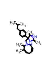 C=C1NC(=C)C(CN2CC#CC/C=C(/C)C2=C)(c2ccc(CC(C)C)cc2)N1